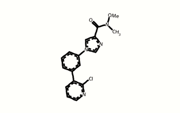 CON(C)C(=O)c1cn(-c2cccc(-c3cccnc3Cl)c2)cn1